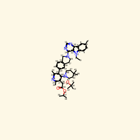 CCn1c2ccc(C)cc2c2ncnc(N3CCc4cc(-c5c(C)nc(C)c([C@H](OC(C)(C)C)C(=O)OC(C)C)c5N5CCC(C)(C)CC5)ccc4C3)c21